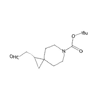 CC(C)(C)OC(=O)N1CCC2(CC1)CC2CC=O